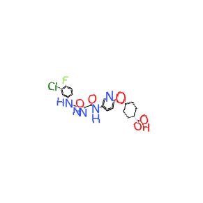 O=C(Nc1ccc(O[C@H]2CC[C@@H](C(=O)O)CC2)nc1)c1nnc(Nc2ccc(F)c(Cl)c2)o1